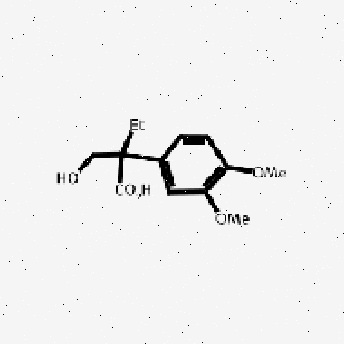 CCC(CO)(C(=O)O)c1ccc(OC)c(OC)c1